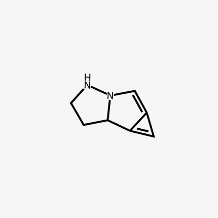 C1=C2C=C2C2CCNN12